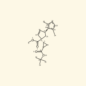 COC(=O)[C@@]1(C2CC2C(=O)OC(C)(C)C)C=C[C@@H](n2c(C)ccc2C)C1